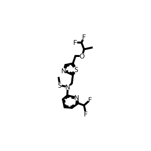 CSN(Cc1ncc(COC(C)C(F)F)s1)c1cccc(C(F)F)n1